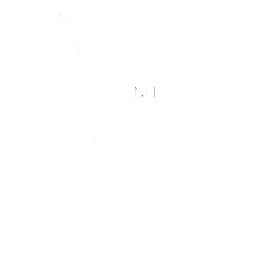 O=C([CH]Cc1ccccc1)NC1C[S+]([O-])C1